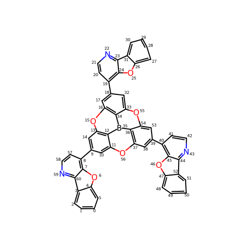 c1ccc2c(c1)oc1c(-c3cc4c5c(c3)Oc3cc(-c6ccnc7c6oc6ccccc67)cc6c3B5c3c(cc(-c5ccnc7c5oc5ccccc57)cc3O6)O4)ccnc12